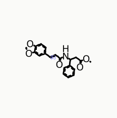 COC(=O)CC(NC(=O)/C=C/c1ccc2c(c1)OCO2)c1ccccc1